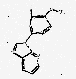 FC(F)(F)Oc1ccc(-n2cnc3cccnc32)cc1Cl